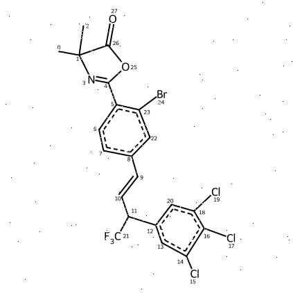 CC1(C)N=C(c2ccc(C=CC(c3cc(Cl)c(Cl)c(Cl)c3)C(F)(F)F)cc2Br)OC1=O